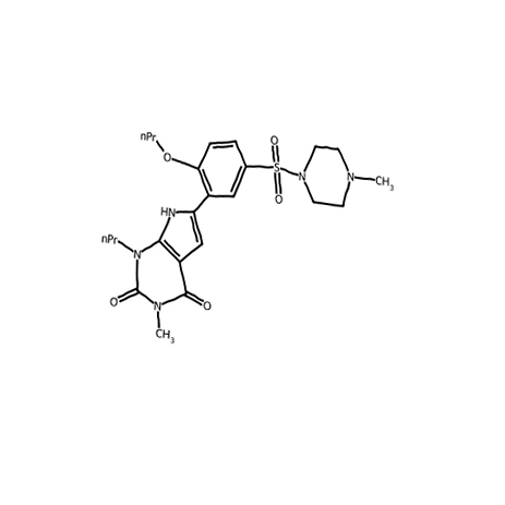 CCCOc1ccc(S(=O)(=O)N2CCN(C)CC2)cc1-c1cc2c(=O)n(C)c(=O)n(CCC)c2[nH]1